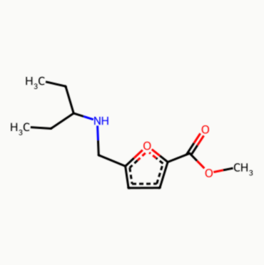 CCC(CC)NCc1ccc(C(=O)OC)o1